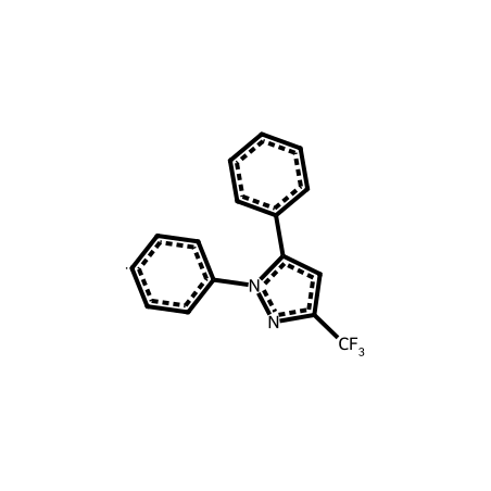 FC(F)(F)c1cc(-c2ccccc2)n(-c2cc[c]cc2)n1